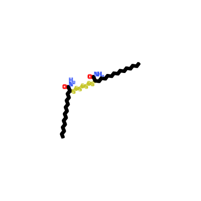 CCCCCCCCCCCCCCC(SSSSSSSC(CCCCCCCCCCCCCC)C(N)=O)C(N)=O